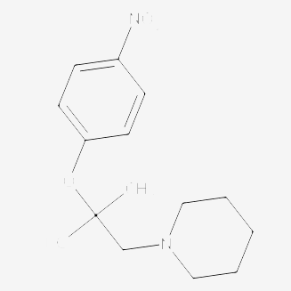 CC(C)(CN1CCCCC1)Oc1ccc([N+](=O)[O-])cc1